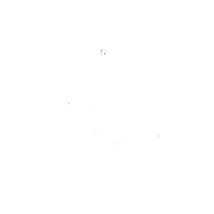 COC(=O)C(C#N)C(C)C(OC)OC